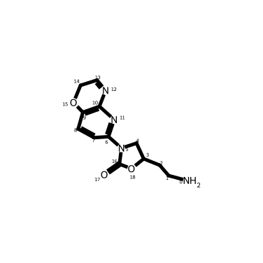 NCCC1CN(c2ccc3c(n2)N=CCO3)C(=O)O1